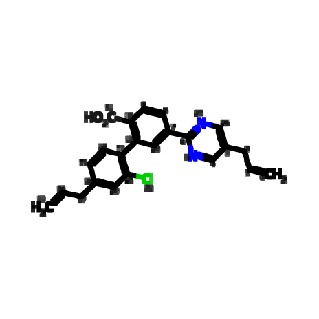 C=CCc1cnc(-c2ccc(C(=O)O)c(-c3ccc(CC=C)cc3Cl)c2)nc1